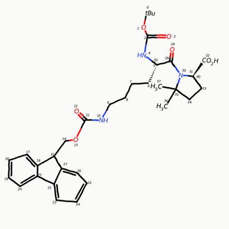 CC(C)(C)OC(=O)N[C@@H](CCCCNC(=O)OCC1c2ccccc2-c2ccccc21)C(=O)N1[C@@H](C(=O)O)CCC1(C)C